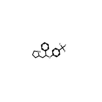 FC(F)(F)c1ccc(OC(CC2CCCN2)c2ccccc2)cc1